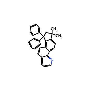 CC1(C)CC(c2ccccc2)(c2ccccc2)c2c1ccc1c2ccc2cccnc21